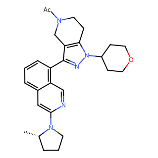 CC(=O)N1CCc2c(c(-c3cccc4cc(N5CCC[C@@H]5C)ncc34)nn2C2CCOCC2)C1